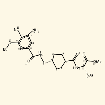 CCCC[C@H](NC(=O)[C@H]1CC[C@H](CNC(=O)c2cc(N)c(C#N)c(OCC)n2)CC1)C(=O)OC